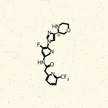 O=C(Cc1cccc(C(F)(F)F)n1)Nc1cnc(-n2cnc([C@@H]3COCCN3)c2)c(F)c1